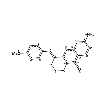 COc1ccc(C=C2CCCn3c2nc2cc(N)ccc2c3=O)cc1